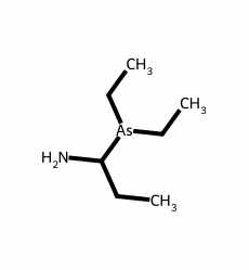 CCC(N)[As](CC)CC